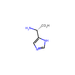 N[C@H](C(=O)O)c1cnc[nH]1